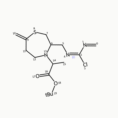 C=N/C(Cl)=N\CC1CSC(=C)CCN1C(C)C(=O)OC(C)(C)C